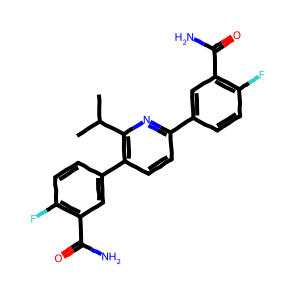 CC(C)c1nc(-c2ccc(F)c(C(N)=O)c2)ccc1-c1ccc(F)c(C(N)=O)c1